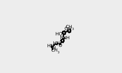 COc1ncccc1-c1ccc(O)c(-c2nc3cc(C(=O)NCCc4nc(C)c[nH]4)ccc3[nH]2)c1